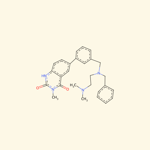 CN(C)CCN(Cc1ccccc1)Cc1cccc(-c2ccc3[nH]c(=O)n(C)c(=O)c3c2)c1